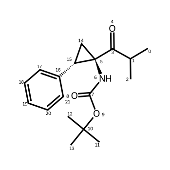 CC(C)C(=O)[C@@]1(NC(=O)OC(C)(C)C)C[C@H]1c1ccccc1